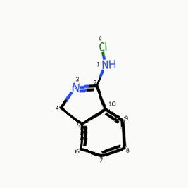 ClNC1=NCc2ccccc21